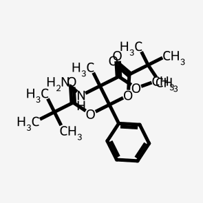 COC(=O)C(C)(NN)C(OC(=O)C(C)(C)C)(OC(=O)C(C)(C)C)c1ccccc1